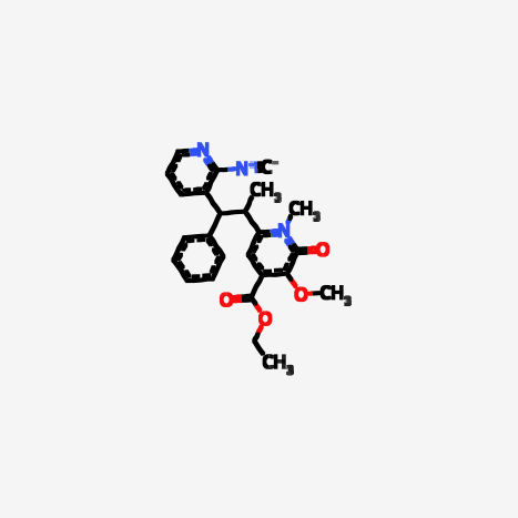 [C-]#[N+]c1ncccc1C(c1ccccc1)C(C)c1cc(C(=O)OCC)c(OC)c(=O)n1C